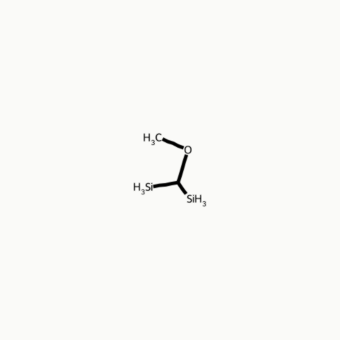 COC([SiH3])[SiH3]